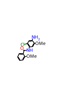 COc1cc(NC(=O)c2ccccc2OC)c(Cl)cc1N